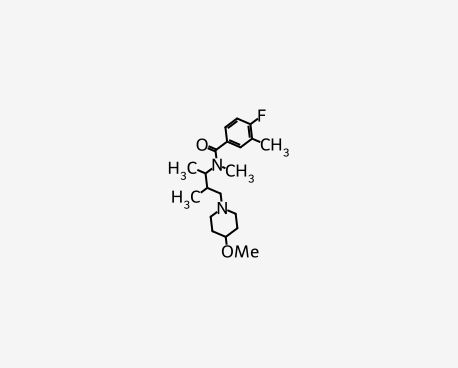 COC1CCN(CC(C)C(C)N(C)C(=O)c2ccc(F)c(C)c2)CC1